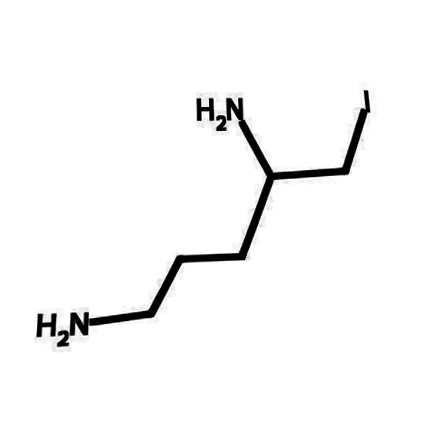 NCCCC(N)CI